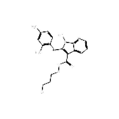 Cc1ccc(Nc2c(C(=O)NOCCCO)c3cccnc3n2C)c(C)c1